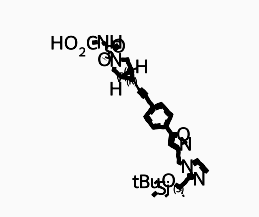 C[C@H](O[Si](C)(C)C(C)(C)C)c1nccn1Cc1cc(-c2ccc(C#C[C@H]3[C@H]4CN(S(=O)(=O)NC(=O)O)C[C@@H]34)cc2)on1